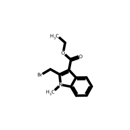 CCOC(=O)c1c(CBr)n(C)c2ccccc12